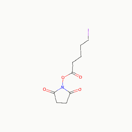 O=C(CCCCI)ON1C(=O)CCC1=O